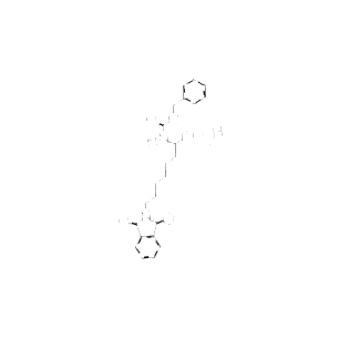 O=C(NC(CCCCCCN1C(=O)c2ccccc2C1=O)C(=O)O)OCc1ccccc1